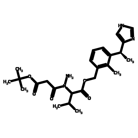 Cc1c(COC(=O)C(C(C)C)N(N)C(=O)CC(=O)OC(C)(C)C)cccc1[C@H](C)c1c[nH]cn1